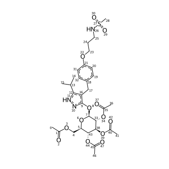 CC(=O)OC[C@H]1O[C@@H](Oc2n[nH]c(C(C)C)c2Cc2ccc(OCCCNS(C)(=O)=O)cc2)[C@H](OC(C)=O)[C@@H](OC(C)=O)[C@@H]1OC(C)=O